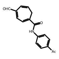 CC(=O)c1ccc(NC(=O)C2=CC=C(C=O)C=CC2)cc1